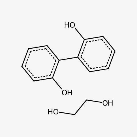 OCCO.Oc1ccccc1-c1ccccc1O